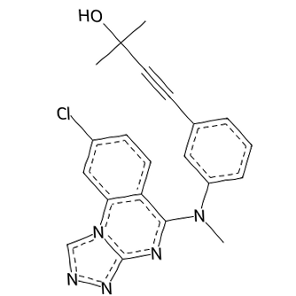 CN(c1cccc(C#CC(C)(C)O)c1)c1nc2nncn2c2cc(Cl)ccc12